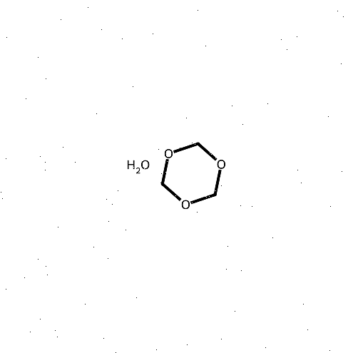 C1OCOCO1.O